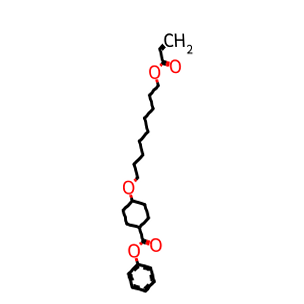 C=CC(=O)OCCCCCCCCCOC1CCC(C(=O)Oc2ccccc2)CC1